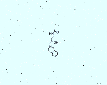 CC(=O)NCCC(O)CN1CCc2ccccc2C1